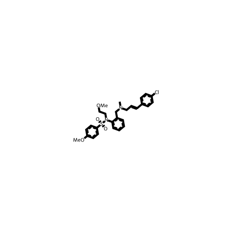 COCCN(c1ccccc1CN(C)CC=Cc1ccc(Cl)cc1)S(=O)(=O)c1ccc(OC)cc1